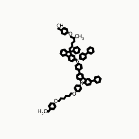 C=Cc1ccc(OCCCCCCOc2ccc(-n3c4ccc(-c5ccccc5)cc4c4cc(-c5ccc(N(c6ccc(-c7ccccc7)cc6)c6ccc7c(c6)C(CCCCC(C)COc6ccc(C=C)cc6)(c6ccccc6)c6ccccc6-7)cc5)ccc43)cc2)cc1